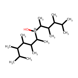 CC(C)C(C)C(C)C(C)C(C)[SiH](O)C(C)C(C)C(C)C(C)C